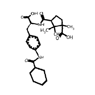 CC1(C(=O)O)CCC(C(=O)N[C@@H](Cc2ccc(NC(=O)C3CCCCC3)cc2)C(=O)O)C1(C)C